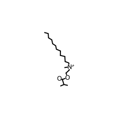 CCCCCCCCCCCC[N+](C)(C)CCOC(=O)C(C)C